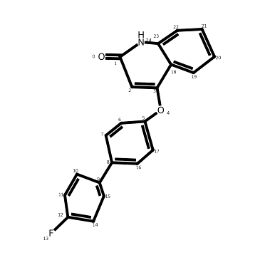 O=c1cc(Oc2ccc(-c3ccc(F)cc3)cc2)c2ccccc2[nH]1